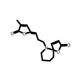 CC1=C/C(=C/CCN2CCCCC23C=CC(=O)O3)OC1=O